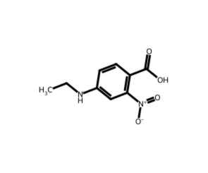 CCNc1ccc(C(=O)O)c([N+](=O)[O-])c1